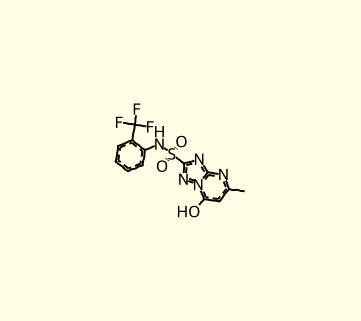 Cc1cc(O)n2nc(S(=O)(=O)Nc3ccccc3C(F)(F)F)nc2n1